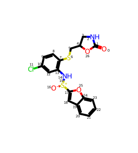 O=C1NCC(CSc2ccc(Cl)cc2N[S+]([O-])c2cc3ccccc3o2)O1